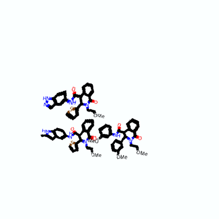 COCCN1C(=O)c2ccccc2C(C(=O)Nc2ccc3[nH]c(C)cc3c2)C1c1cccs1.COCCN1C(=O)c2ccccc2C(C(=O)Nc2ccc3[nH]ncc3c2)C1c1cccs1.COCCN1C(=O)c2ccccc2C(C(=O)Nc2cccc(OC)c2)C1c1cccc(OC)c1